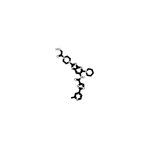 Cc1cc(-c2nc(C(=O)Nc3cc4sc(N5CCN(C(=O)CO)CC5)nc4nc3N3CCCCC3)co2)ccn1